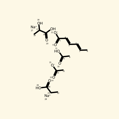 C/C=C/C=C/C(=O)[O-].CC(=O)O.CC(=O)[O-].CC(O)C(=O)O.CCC(=O)O.[Na+].[Na+]